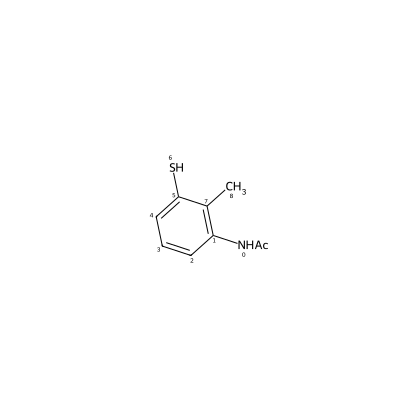 CC(=O)Nc1cccc(S)c1C